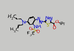 C=CCN(CC=C)c1ccc(N=Nc2nnc(C(=O)OC(C)C)s2)c(NS(=O)(=O)C(F)(F)F)c1